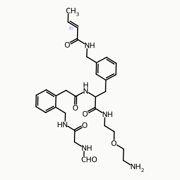 C/C=C/C(=O)NCc1cccc(CC(NC(=O)Cc2ccccc2CNC(=O)CNC=O)C(=O)NCCOCCN)c1